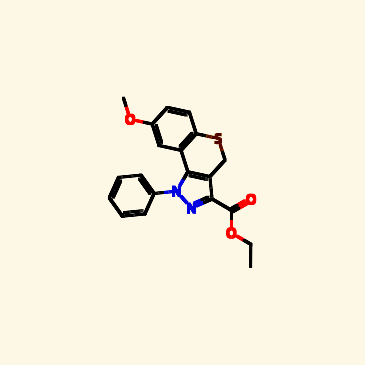 CCOC(=O)c1nn(-c2ccccc2)c2c1CSc1ccc(OC)cc1-2